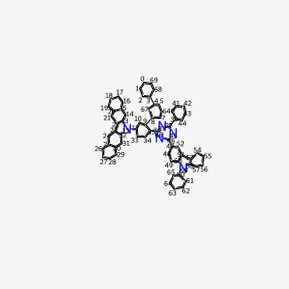 c1ccc(-c2cccc(-c3cc(-n4c5cc6ccccc6cc5c5cc6ccccc6cc54)ccc3-c3nc(-c4ccccc4)nc(-c4ccc5c(c4)c4ccccc4n5-c4ccccc4)n3)c2)cc1